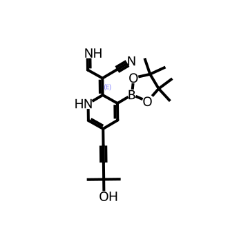 CC(C)(O)C#CC1=CN/C(=C(/C#N)C=N)C(B2OC(C)(C)C(C)(C)O2)=C1